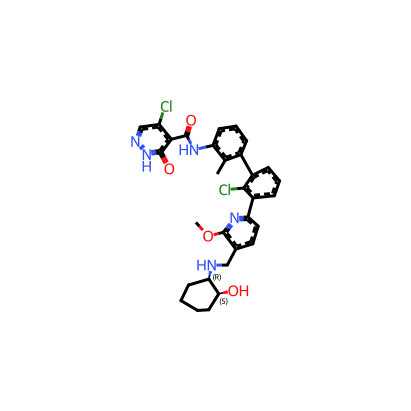 COc1nc(-c2cccc(-c3cccc(NC(=O)c4c(Cl)cn[nH]c4=O)c3C)c2Cl)ccc1CN[C@@H]1CCCC[C@@H]1O